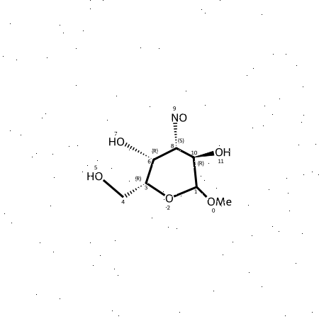 COC1O[C@H](CO)[C@H](O)[C@H](N=O)[C@H]1O